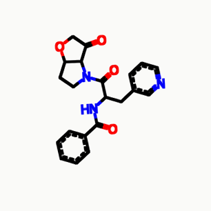 O=C(NC(Cc1cccnc1)C(=O)N1CCC2OCC(=O)C21)c1ccccc1